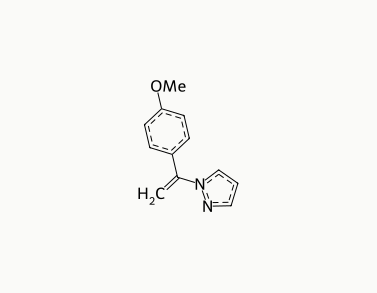 C=C(c1ccc(OC)cc1)n1cccn1